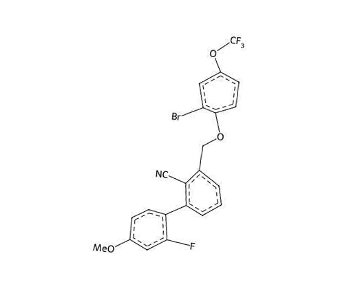 COc1ccc(-c2cccc(COc3ccc(OC(F)(F)F)cc3Br)c2C#N)c(F)c1